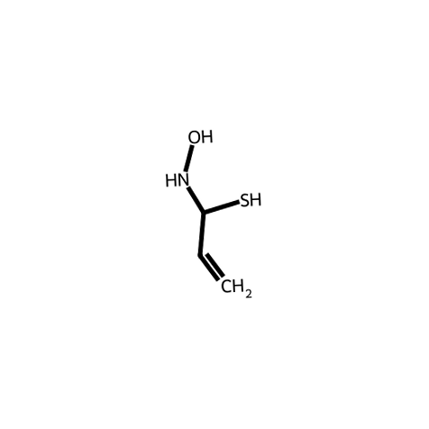 C=CC(S)NO